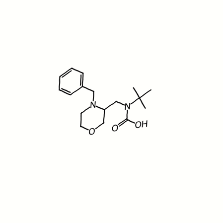 CC(C)(C)N(CC1COCCN1Cc1ccccc1)C(=O)O